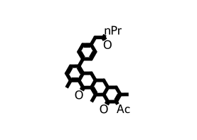 CCCC(=O)Cc1ccc(-c2ccc(C)c3c2CC2CC4CC(C)=C(C(C)=O)C(=O)C4C(C)=C2C3=O)cc1